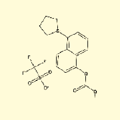 COC(=O)Oc1cccc2c([S+]3CCCC3)cccc12.O=S(=O)([O-])C(F)(F)F